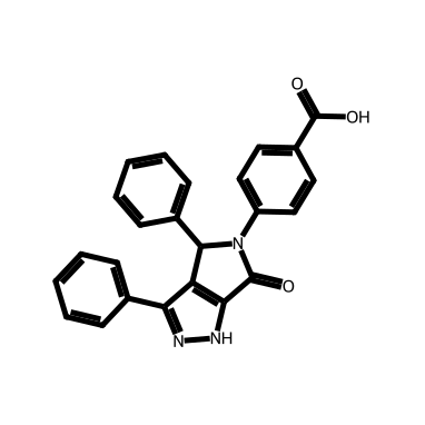 O=C(O)c1ccc(N2C(=O)c3[nH]nc(-c4ccccc4)c3C2c2ccccc2)cc1